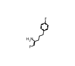 NC(=CF)CCCc1ccc(F)cc1